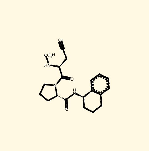 C#CC[C@H](NC(=O)O)C(=O)N1CCC[C@H]1C(=O)N[C@@H]1CCCc2ccccc21